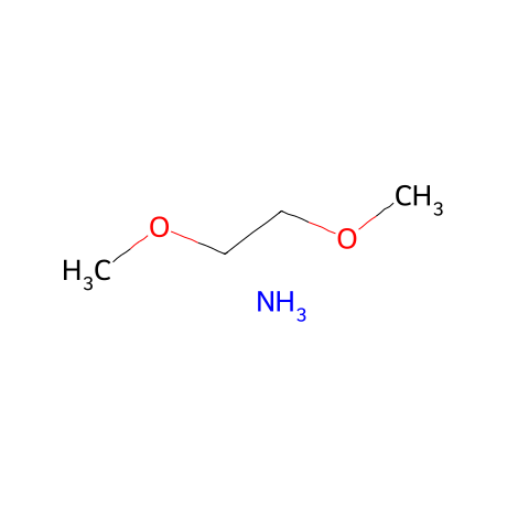 COCCOC.N